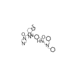 CN1CCN(C(=O)c2nn(-c3ccc(C(=O)NCCN(Cc4ccccc4)Cc4ccccc4)cc3)c3c2CCc2sccc2-3)CC1